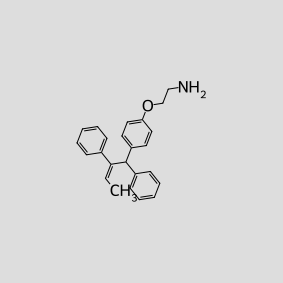 CC=C(c1ccccc1)C(c1ccccc1)c1ccc(OCCN)cc1